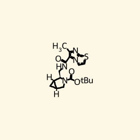 Cc1nc2sccn2c1C(=O)NC[C@@H]1[C@H]2C[C@H]2CN1C(=O)OC(C)(C)C